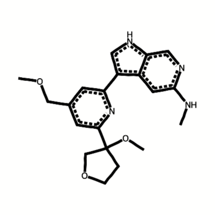 CNc1cc2c(-c3cc(COC)cc(C4(OC)CCOC4)n3)c[nH]c2cn1